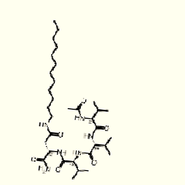 CCCCCCCCCCCCNC(=O)C[C@H](NC(=O)[C@@H](NC(=O)[C@H](NC(=O)[C@@H](NC(C)=O)C(C)C)C(C)C)C(C)C)C(N)=O